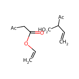 C=CC(C(C)=O)C(=O)O.C=COC(=O)CC(C)=O